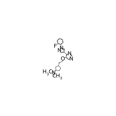 CN(C)[C@@H]1CC[C@H](CCOc2cncnc2-c2cnn(-c3ccccc3F)c2)C1